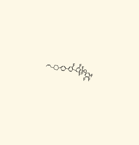 C/C=C\CC1CCC(c2ccc(-c3ccc(-c4cc(F)c(C(F)(F)Oc5cc(F)c(F)c(F)c5)c(F)c4)c(F)c3)cc2)CC1